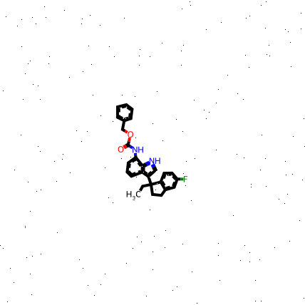 CCC1(c2c[nH]c3c(NC(=O)OCc4ccccc4)cccc23)CCc2cc(F)ccc21